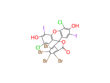 O=C1OC2(c3cc(I)c(O)c(Cl)c3Oc3c2cc(Cl)c(O)c3I)c2c(Br)c(Br)c(Br)c(Br)c21